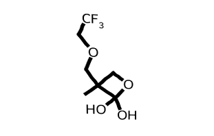 CC1(COCC(F)(F)F)COC1(O)O